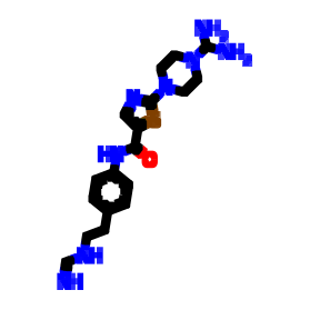 N=CNCCc1ccc(NC(=O)c2cnc(N3CCN(C(N)N)CC3)s2)cc1